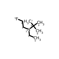 CCN(CCF)C(C)(C)C